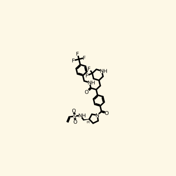 C=CS(=O)(=O)NC[C@@H]1CCN(C(=O)c2ccc(C(CC3CNCC(F)(F)C3)C(=O)NCc3ccc(C(F)(F)F)cc3)cc2)C1